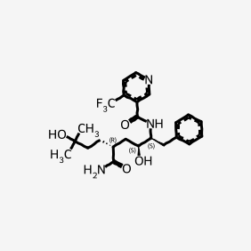 CC(C)(O)CC[C@H](C[C@H](O)[C@H](Cc1ccccc1)NC(=O)c1cnccc1C(F)(F)F)C(N)=O